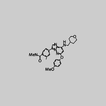 CNC(=O)c1ccc(-c2cnc3c(NCC4CCOCC4)cc(Oc4ccc(OC)cc4)nn23)cc1C